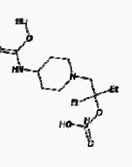 CCC(CC)(CN1CCC(NC(=O)OC(C)(C)C)CC1)O[PH](=O)O